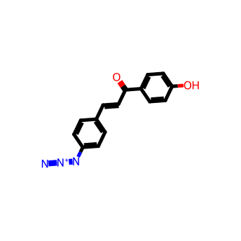 [N-]=[N+]=Nc1ccc(/C=C/C(=O)c2ccc(O)cc2)cc1